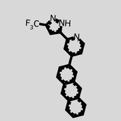 FC(F)(F)c1cc(-c2cc(-c3ccc4cc5ccccc5cc4c3)ccn2)[nH]n1